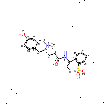 CCN(CC)[C@H](CCC(=O)NC1CCS(=O)(=O)c2ccccc21)Cc1ccc(O)cc1